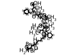 CC[C@H](C)[C@H](NC(=O)[C@H]1CCCCN1C(=O)CCCCCNC(=O)C(Br)C(Br)C(N)=O)C(=O)N(C)[C@H](C[C@@H](OC(C)=O)c1nc(C(=O)N[C@@H](Cc2ccccc2)C[C@H](C)C(=O)O)cs1)C(C)C